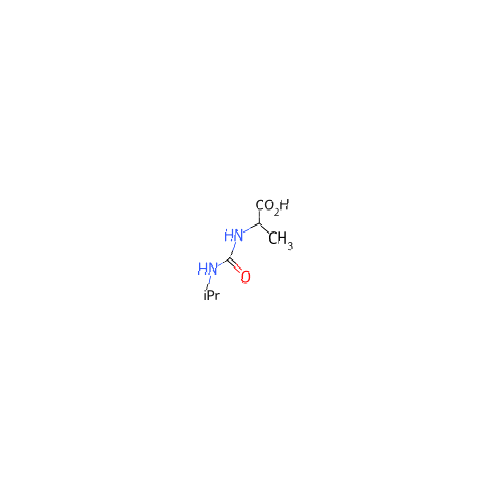 CC(C)NC(=O)NC(C)C(=O)O